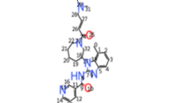 Cc1cccc2nc(NC(=O)c3cccnc3)n(C3CCCCN(C(=O)/C=C/CN(C)C)C3)c12